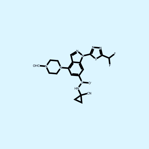 N#CC1(N[S+]([O-])c2cc(N3CCN(C=O)CC3)c3cnn(-c4nnc(C(F)F)s4)c3c2)CC1